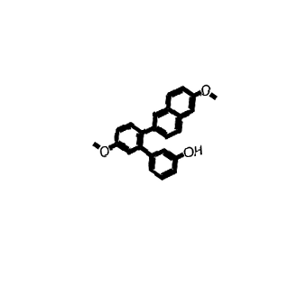 COc1ccc(-c2ccc3cc(OC)ccc3c2)c(-c2cccc(O)c2)c1